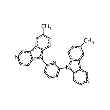 Cc1ccc2c(c1)c1cnccc1n2-c1cccc(-n2c3ccncc3c3cc(C)ccc32)n1